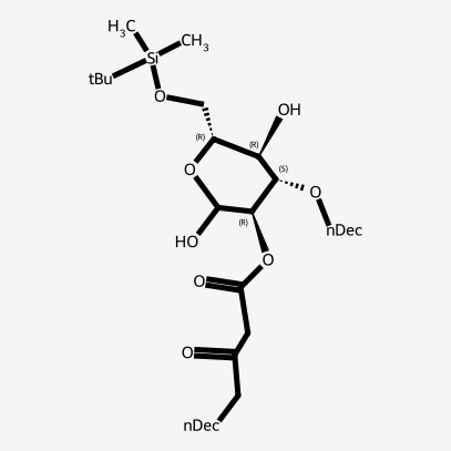 CCCCCCCCCCCC(=O)CC(=O)O[C@H]1C(O)O[C@H](CO[Si](C)(C)C(C)(C)C)[C@@H](O)[C@@H]1OCCCCCCCCCC